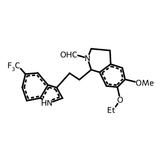 CCOc1cc2c(cc1OC)CCN(C=O)C2CCc1c[nH]c2ccc(C(F)(F)F)cc12